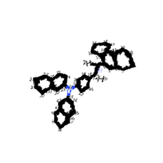 [2H]/C(=C(/[2H])c1cc2ccccc2c2ccccc12)c1ccc(N(c2ccc3ccccc3c2)c2ccc3ccccc3c2)cc1